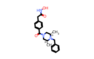 C[C@@H]1CN(C(=O)c2ccc(CC(=O)NO)cc2)C[C@H](C)N1Cc1ccccc1